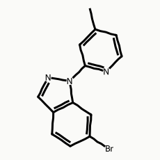 Cc1ccnc(-n2ncc3ccc(Br)cc32)c1